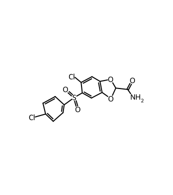 NC(=O)C1Oc2cc(Cl)c(S(=O)(=O)c3ccc(Cl)cc3)cc2O1